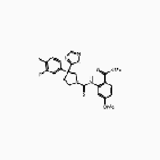 CNC(=O)c1ccc(OC)cc1NC(=S)N1CC[C@](c2ccc(C)c(F)c2)(c2ncns2)C1